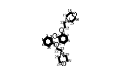 c1ccc(Oc2ccccc2OCCN2CCOCC2)c(OCCN2CCOCC2)c1